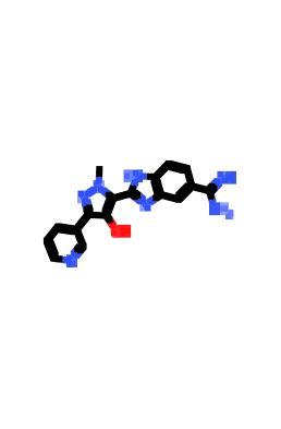 Cn1nc(-c2cccnc2)c(O)c1-c1nc2cc(C(=N)N)ccc2[nH]1